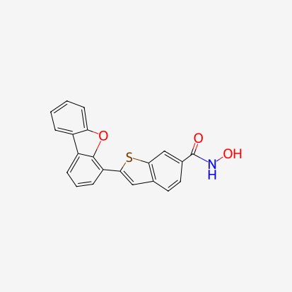 O=C(NO)c1ccc2cc(-c3cccc4c3oc3ccccc34)sc2c1